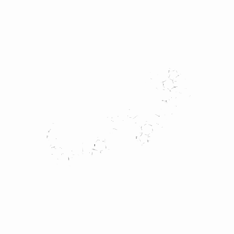 CCC1(C(=O)N2CCc3c2cc(OC(=O)N(C)CCN(C)C(=O)OCc2ccc(NC(=O)CNC(=O)C(NC(=O)CNC(C)=O)C(C)C)cc2)c2[nH]cc(C)c32)CC(C)(C(=O)N2C[C@@H](CCl)c3c2cc(OP(=O)(O)O)c2[nH]cc(C)c32)C1